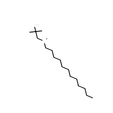 CCCCCCCCCCCC[S+]([O-])CC(C)(C)O